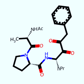 CCC[C@H](NC(=O)[C@@H]1CCCN1C(=O)[C@H](C)NC(C)=O)C(=O)C(=O)Cc1ccccc1